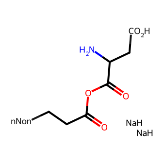 CCCCCCCCCCCC(=O)OC(=O)C(N)CC(=O)O.[NaH].[NaH]